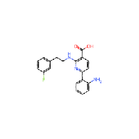 Nc1ccccc1-c1ccc(C(=O)O)c(NCCc2cccc(F)c2)n1